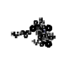 CCOC(=O)COc1ccc(C(=O)C(C)NC(=O)/C(=N\c2ccccc2)NC(=O)OC(C)OC(=O)c2ccccc2OC(C)=O)cc1